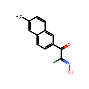 Cc1ccc2cc(C(=O)C(Cl)=NO)ccc2c1